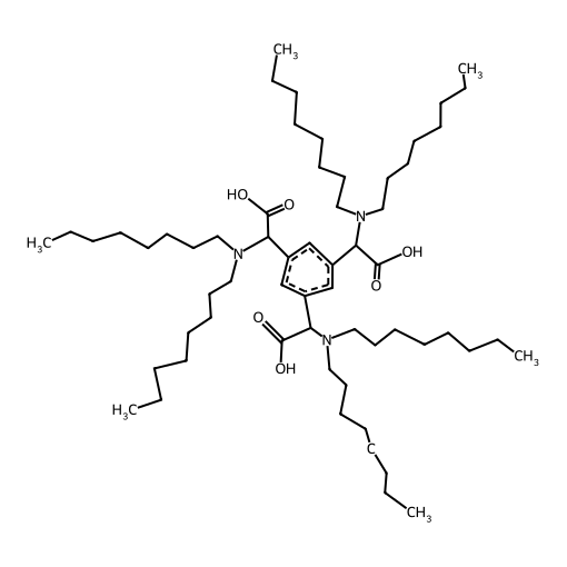 CCCCCCCCN(CCCCCCCC)C(C(=O)O)c1cc(C(C(=O)O)N(CCCCCCCC)CCCCCCCC)cc(C(C(=O)O)N(CCCCCCCC)CCCCCCCC)c1